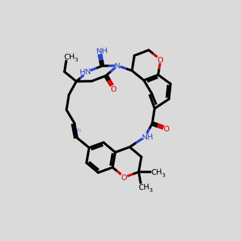 CCC12CC/C=C/c3ccc4c(c3)C(CC(C)(C)O4)NC(=O)c3ccc4c(c3)C(CCO4)N(C(=N)N1)C(=O)C2